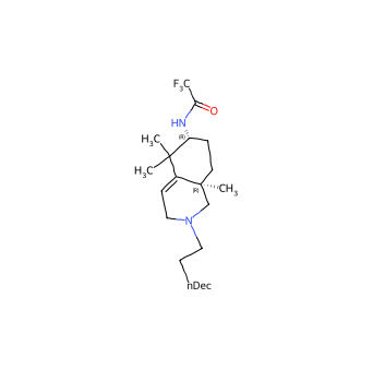 CCCCCCCCCCCCN1CC=C2C(C)(C)[C@H](NC(=O)C(F)(F)F)CC[C@@]2(C)C1